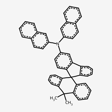 CC1(C)c2ccccc2C2(c3ccccc3-c3cc(N(c4ccc5ccccc5c4)c4ccc5ccccc5c4)ccc32)c2ccccc21